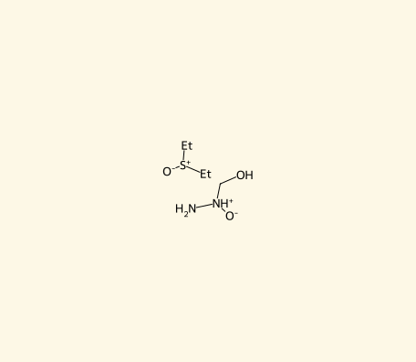 CC[S+]([O-])CC.N[NH+]([O-])CO